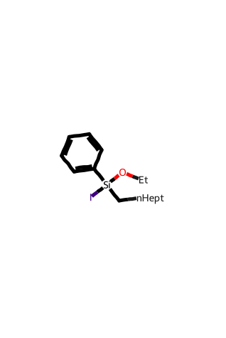 CCCCCCCC[Si](I)(OCC)c1ccccc1